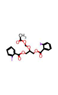 CC(=O)OCOC(COC(=O)c1ccccc1I)COC(=O)c1ccccc1I